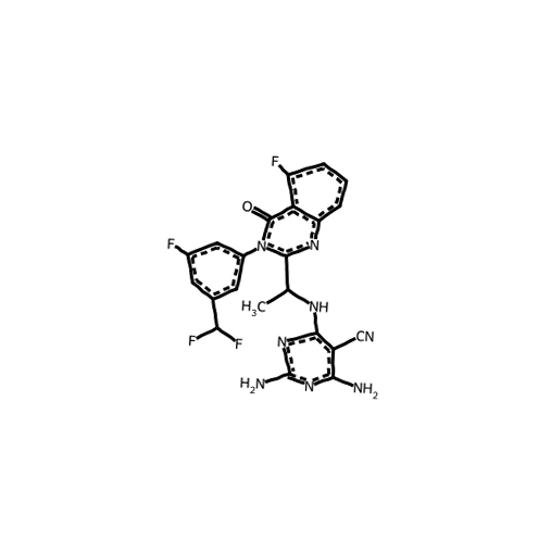 CC(Nc1nc(N)nc(N)c1C#N)c1nc2cccc(F)c2c(=O)n1-c1cc(F)cc(C(F)F)c1